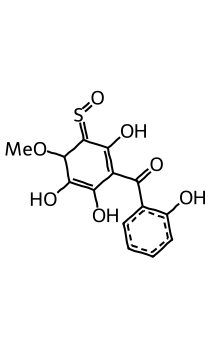 COC1C(=S=O)C(O)=C(C(=O)c2ccccc2O)C(O)=C1O